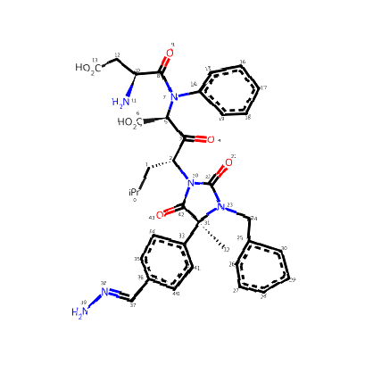 CC(C)C[C@H](C(=O)[C@@H](C(=O)O)N(C(=O)[C@@H](N)CC(=O)O)c1ccccc1)N1C(=O)N(Cc2ccccc2)[C@@](C)(c2ccc(C=NN)cc2)C1=O